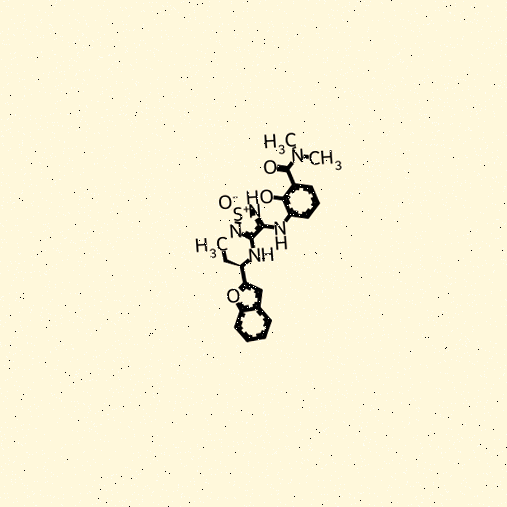 CC[C@@H](Nc1n[s+]([O-])nc1Nc1cccc(C(=O)N(C)C)c1O)c1cc2ccccc2o1